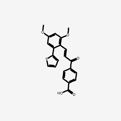 COc1cc(OC)c(/C=C/C(=O)c2ccc(C(=O)O)cc2)c(-c2cccs2)c1